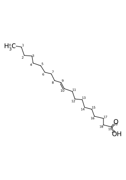 CCCCCCCCCC=CCCCCCCCCC(=O)O